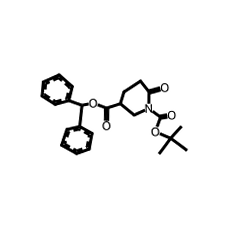 CC(C)(C)OC(=O)N1CC(C(=O)OC(c2ccccc2)c2ccccc2)CCC1=O